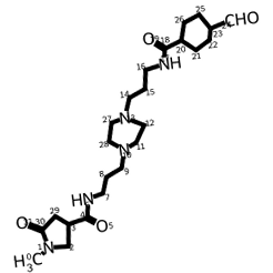 CN1CC(C(=O)NCCCN2CCN(CCCNC(=O)C3CCC(C=O)CC3)CC2)CC1=O